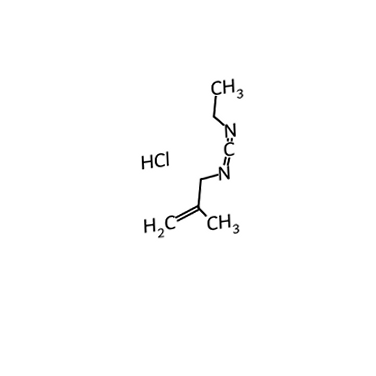 C=C(C)CN=C=NCC.Cl